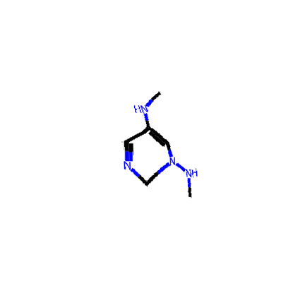 CNC1=CN(NC)CN=[C]1